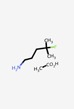 CC(=O)O.CC(C)(F)CCCN